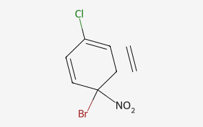 C=C.O=[N+]([O-])C1(Br)C=CC(Cl)=CC1